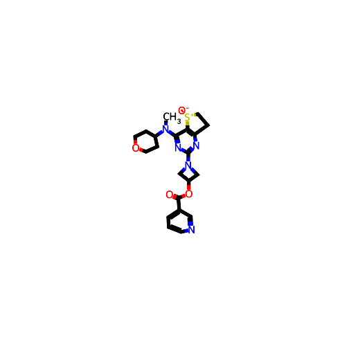 CN(c1nc(N2CC(OC(=O)c3cccnc3)C2)nc2c1[S@+]([O-])CC2)C1CCOCC1